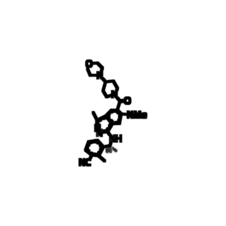 CNc1cc2c(N[C@H](C)c3cccc(C#N)c3C)nnc(C)c2cc1C(=O)N1CCC(N2CCOCC2)CC1